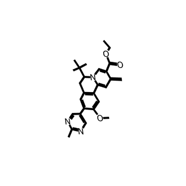 C=C1C=C2c3cc(OC)c(-c4cnc(C)nc4)cc3CC(C(C)(C)C)N2C=C1C(=O)OCC